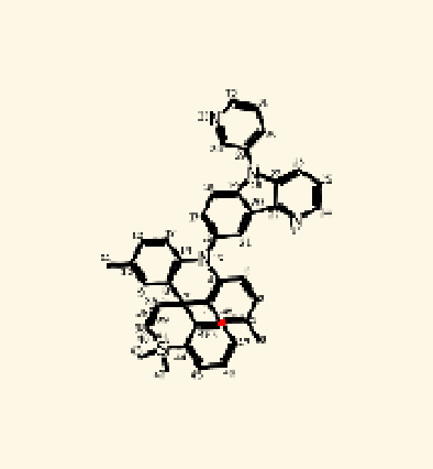 Cc1ccc2c(c1)C1(c3cc(C)ccc3N2c2ccc3c(c2)c2ncccc2n3-c2cccnc2)c2ccccc2[Si](C)(C)c2ccccc21